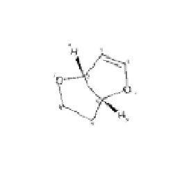 C1=C[C@H]2OCC[C@H]2O1